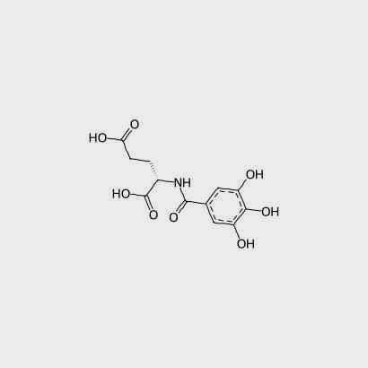 O=C(O)CC[C@H](NC(=O)c1cc(O)c(O)c(O)c1)C(=O)O